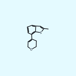 Cc1cc2cccc(C3=CCOCC3)c2s1